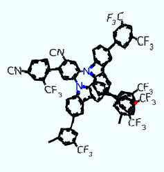 [C-]#[N+]c1ccc(-c2cc(-n3c4ccc(-c5cc(C)cc(C(F)(F)F)c5)cc4c4cc(-c5cc(C(F)(F)F)cc(C(F)(F)F)c5)ccc43)c(-n3c4ccc(-c5cc(C)cc(C(F)(F)F)c5)cc4c4cc(-c5cc(C(F)(F)F)cc(C(F)(F)F)c5)ccc43)cc2[N+]#[C-])c(C(F)(F)F)c1